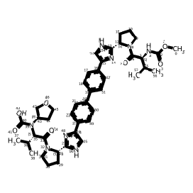 COC(=O)N[C@H](C(=O)N1CCC[C@H]1c1nc(-c2ccc(-c3ccc(-c4c[nH]c([C@@H]5CCCN5C(=O)[C@H](C(C)C)N(C(=O)O)[C@@H]5CCOC5)n4)cc3)cc2)c[nH]1)C(C)C